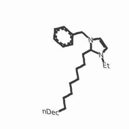 CCCCCCCCCCCCCCCCCCC1N(CC)C=CN1Cc1ccccc1